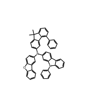 CC1(C)c2ccc(N(c3ccc4oc5ccccc5c4c3)c3ccc4c5ccccc5n(-c5ccccc5)c4c3)cc2-c2c(-c3ccccc3)cccc21